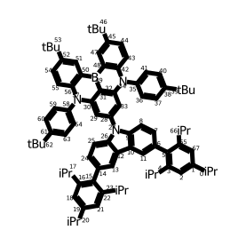 CC(C)c1cc(C(C)C)c(-c2ccc3c(c2)c2cc(-c4c(C(C)C)cc(C(C)C)cc4C(C)C)ccc2n3-c2cc3c4c(c2)N(c2ccc(C(C)(C)C)cc2)c2ccc(C(C)(C)C)cc2B4c2cc(C(C)(C)C)ccc2N3c2ccc(C(C)(C)C)cc2)c(C(C)C)c1